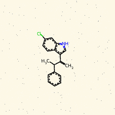 C=C(c1c[nH]c2cc(Cl)ccc12)C(C)c1ccccc1